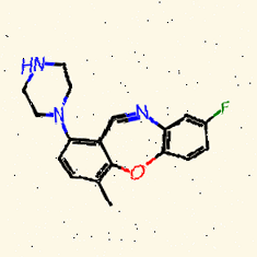 Cc1ccc(N2CCNCC2)c2c1Oc1ccc(F)cc1N=C2